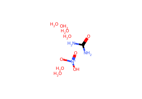 NC(N)=O.O.O.O.O.O.O.O=[N+]([O-])O